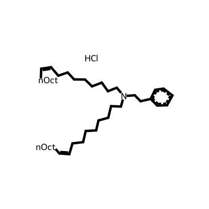 CCCCCCCC/C=C\CCCCCCCCN(CCCCCCCC/C=C\CCCCCCCC)CCc1ccccc1.Cl